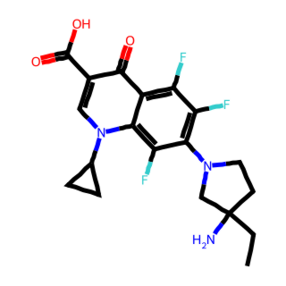 CCC1(N)CCN(c2c(F)c(F)c3c(=O)c(C(=O)O)cn(C4CC4)c3c2F)C1